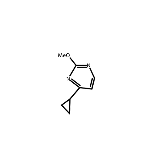 COc1nccc(C2CC2)n1